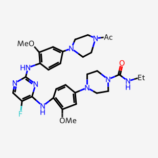 CCNC(=O)N1CCN(c2ccc(Nc3nc(Nc4ccc(N5CCN(C(C)=O)CC5)cc4OC)ncc3F)c(OC)c2)CC1